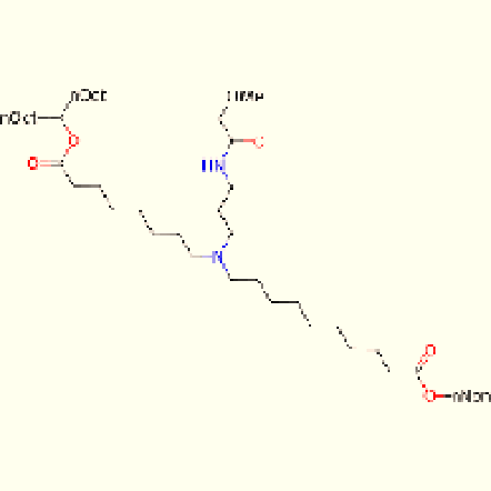 CCCCCCCCCOC(=O)CCCCCCCCCN(CCCCCCCC(=O)OC(CCCCCCCC)CCCCCCCC)CCCNC(=O)COC